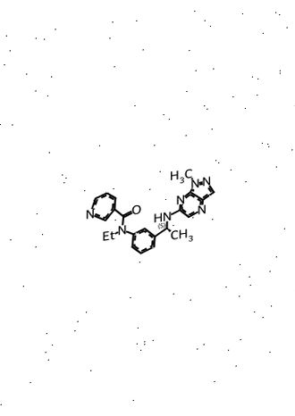 CCN(C(=O)c1cccnc1)c1cccc([C@H](C)Nc2cnc3cnn(C)c3n2)c1